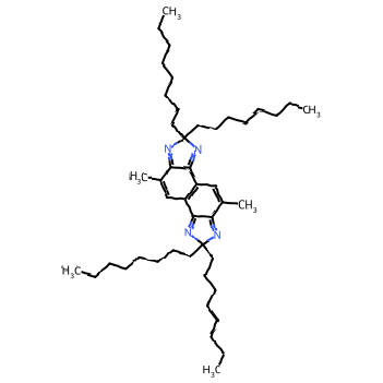 CCCCCCCCC1(CCCCCCCC)N=c2c(C)cc3c4c(c(C)cc3c2=N1)=NC(CCCCCCCC)(CCCCCCCC)N=4